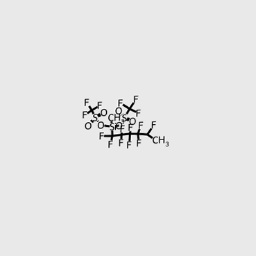 CC(F)C(F)(F)C(F)(F)C(F)(F)C(F)(F)[Si](C)(OS(=O)(=O)C(F)(F)F)OS(=O)(=O)C(F)(F)F